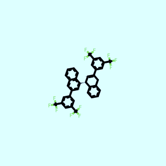 FC(F)(F)c1cc(C2=[C][C@@H](c3[c]c(-c4cc(C(F)(F)F)cc(C(F)(F)F)c4)cc4ccccc34)c3ccccc3C2)cc(C(F)(F)F)c1